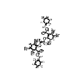 O=C(Oc1c(Br)cc(Br)c(Br)c1C(=O)OCc1ccccc1)C(=O)Oc1c(Br)cc(Br)c(Br)c1C(=O)OCc1ccccc1